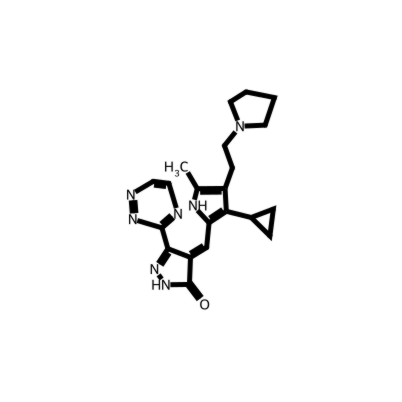 Cc1[nH]c(/C=C2/C(=O)NN=C2c2nccnn2)c(C2CC2)c1CCN1CCCC1